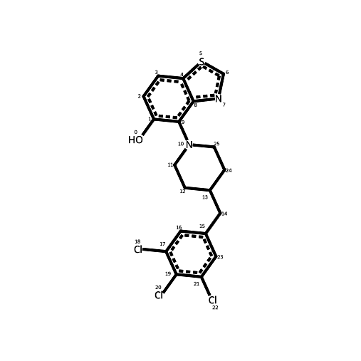 Oc1ccc2scnc2c1N1CCC(Cc2cc(Cl)c(Cl)c(Cl)c2)CC1